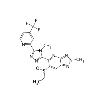 CC[S+]([O-])c1cc2nn(C)nc2nc1-c1nnc(-c2cc(C(F)(F)F)ccn2)n1C